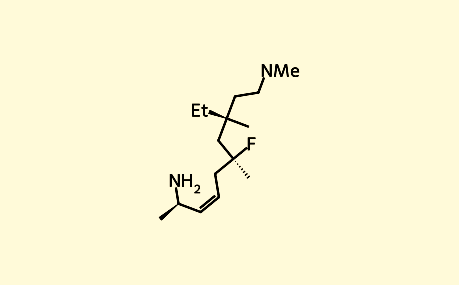 CC[C@](C)(CCNC)C[C@@](C)(F)C/C=C\[C@@H](C)N